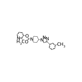 Cc1cccc(-c2cn(C3CCN(C(=O)Oc4cccnc4C)CC3)nn2)c1